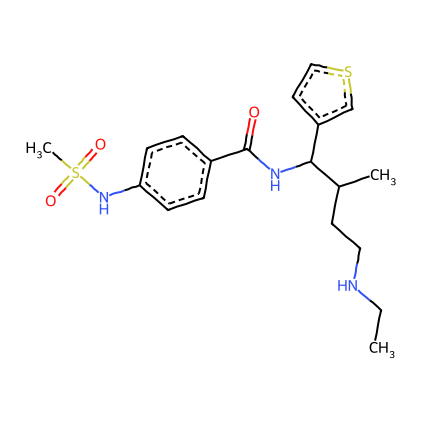 CCNCCC(C)C(NC(=O)c1ccc(NS(C)(=O)=O)cc1)c1ccsc1